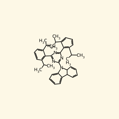 CC(C)c1cccc(C(C)C)c1-c1nc(-c2c(C(C)C)cccc2C(C)C)nc(N2c3ccccc3C3C=CC=CC32)n1